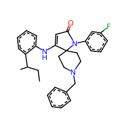 CCC(C)c1ccccc1NC1=CC(=O)N(c2cccc(F)c2)C12CCN(Cc1ccccc1)CC2